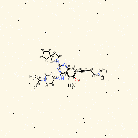 COc1cc2c(NC3CCN(C(C)C)CC3)nc(N3CCC4(CCCC4)C3)nc2cc1C#CCCN(C)C